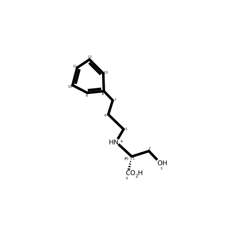 O=C(O)[C@@H](CO)NCCCc1ccccc1